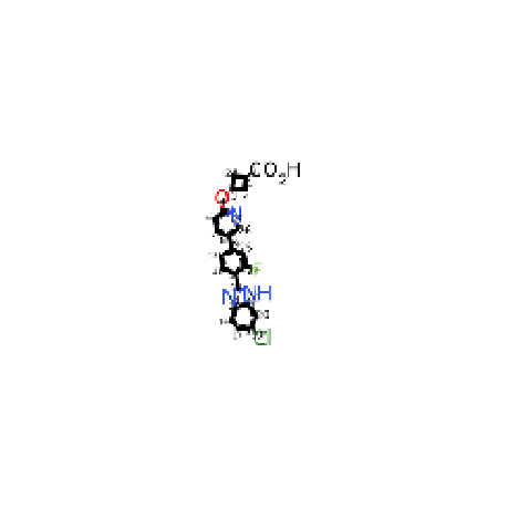 O=C(O)[C@H]1C[C@@H](Oc2ccc(-c3ccc(-c4nc5ccc(Cl)cc5[nH]4)c(F)c3)cn2)C1